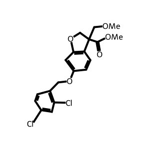 COCC1(C(=O)OC)COc2cc(OCc3ccc(Cl)cc3Cl)ccc21